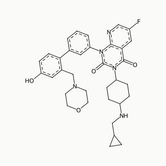 O=c1c2cc(F)cnc2n(-c2cccc(-c3ccc(O)cc3CN3CCOCC3)c2)c(=O)n1C1CCC(NCC2CC2)CC1